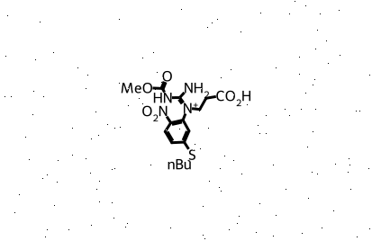 CCCCSc1ccc([N+](=O)[O-])c([N+](CCC(=O)O)=C(N)NC(=O)OC)c1